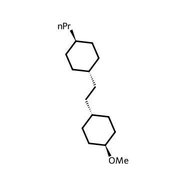 CCC[C@H]1CC[C@H](CC[C@H]2CC[C@H](OC)CC2)CC1